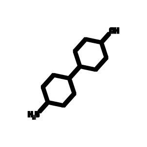 BC1CCC(C2CCC(O)CC2)CC1